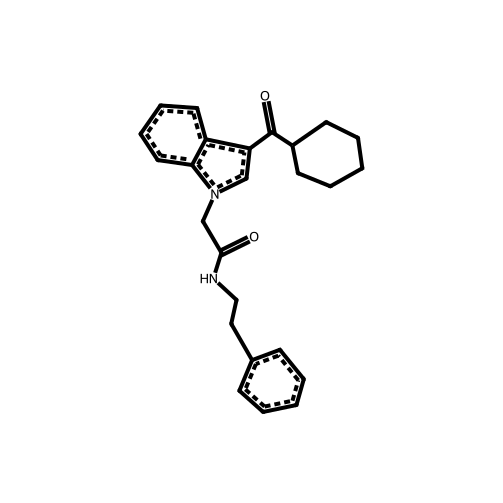 O=C(Cn1cc(C(=O)C2CCCCC2)c2ccccc21)NCCc1ccccc1